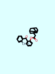 O=[C]c1ccccc1C(=O)c1ccccc1OC(=O)CC12CC3CC(CC(C3)C1)C2